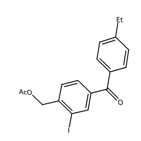 CCc1ccc(C(=O)c2ccc(COC(C)=O)c(I)c2)cc1